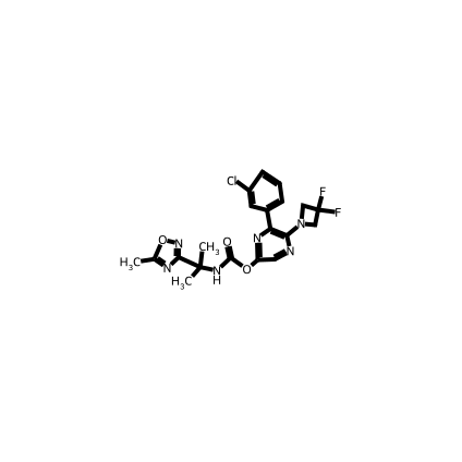 Cc1nc(C(C)(C)NC(=O)Oc2cnc(N3CC(F)(F)C3)c(-c3cccc(Cl)c3)n2)no1